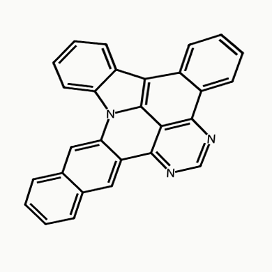 c1ccc2cc3c(cc2c1)c1ncnc2c4ccccc4c4c5ccccc5n3c4c21